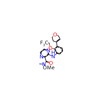 CON(C)C(=O)c1nccnc1Nc1cccc(C2=CCOCC2)c1OCC(F)(F)F